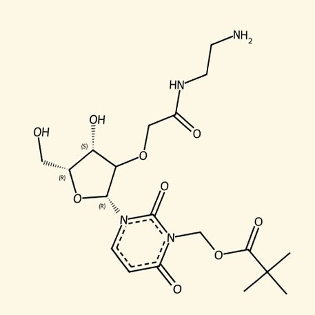 CC(C)(C)C(=O)OCn1c(=O)ccn([C@@H]2O[C@H](CO)[C@H](O)C2OCC(=O)NCCN)c1=O